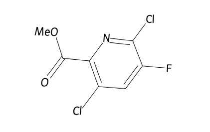 COC(=O)c1nc(Cl)c(F)cc1Cl